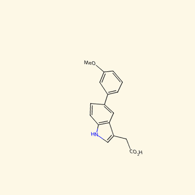 COc1cccc(-c2ccc3[nH]cc(CC(=O)O)c3c2)c1